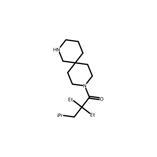 CCC(CC)(CC(C)C)C(=O)N1CCC2(CCCNC2)CC1